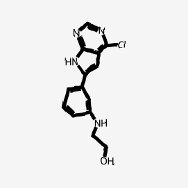 OCCNc1cccc(-c2cc3c(Cl)ncnc3[nH]2)c1